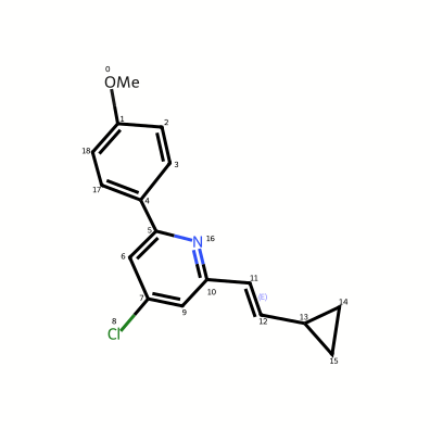 COc1ccc(-c2cc(Cl)cc(/C=C/C3CC3)n2)cc1